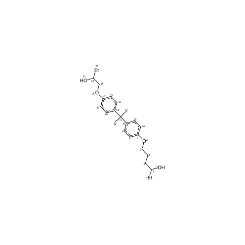 CCC(O)CCCOc1ccc(C(C)(C)c2ccc(OCC(O)CC)cc2)cc1